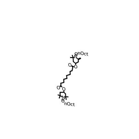 C=C1CC(OC(=O)CCCCCCCCC(=O)OC2CC(C)(C)N(OCCCCCCCC)C(C)(C)C2)CC(C)(C)N1OCCCCCCCC